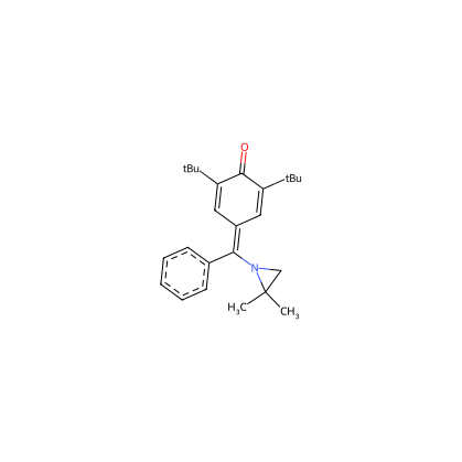 CC(C)(C)C1=CC(=C(c2ccccc2)N2CC2(C)C)C=C(C(C)(C)C)C1=O